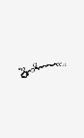 O=C(O)CCCCCCCCC(=O)OCc1ccccc1O